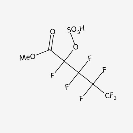 COC(=O)C(F)(OS(=O)(=O)O)C(F)(F)C(F)(F)C(F)(F)F